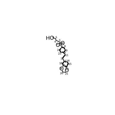 O=S(=O)(CCCO)c1ccc(C=Cc2ccc3c(c2)OCCO3)cc1